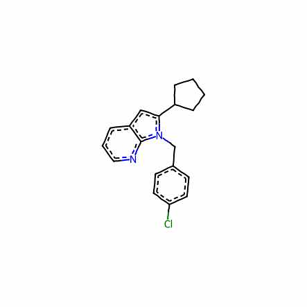 Clc1ccc(Cn2c(C3CCCC3)cc3cccnc32)cc1